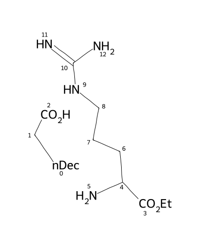 CCCCCCCCCCCC(=O)O.CCOC(=O)C(N)CCCNC(=N)N